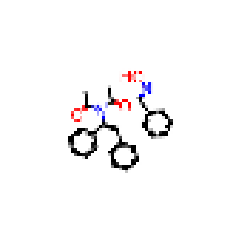 CC(=O)N(C(C)=O)C(=Cc1ccccc1)c1ccccc1.ON=Cc1ccccc1